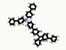 c1ccc(-c2ccc(N(c3ccc(-c4ccccc4)cc3)c3ccc(-c4ccc(C5c6ccccc6-c6cc(-c7ccccc7)ccc65)cc4)cc3)cc2)cc1